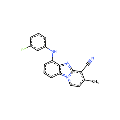 Cc1ccn2c(nc3c(Nc4cccc(F)c4)cccc32)c1C#N